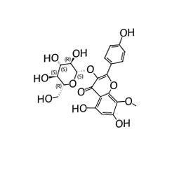 COc1c(O)cc(O)c2c(=O)c(O[C@@H]3O[C@H](CO)[C@@H](O)[C@H](O)[C@H]3O)c(-c3ccc(O)cc3)oc12